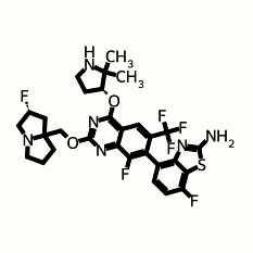 CC1(C)NCC[C@H]1Oc1nc(OCC23CCCN2C[C@H](F)C3)nc2c(F)c(-c3ccc(F)c4sc(N)nc34)c(C(F)(F)F)cc12